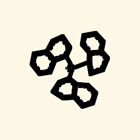 c1ccc2c([Si](c3cccc4ccccc34)c3cccc4ccccc34)cccc2c1